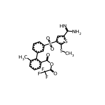 CSc1sc(C(=N)N)cc1S(=O)(=O)c1cccc(-c2c(C)cccc2C(=O)OC(=O)C(F)(F)F)c1